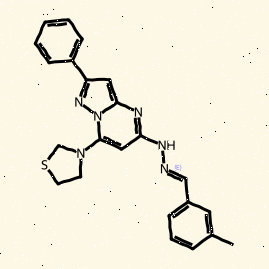 Cc1cccc(/C=N/Nc2cc(N3CCSC3)n3nc(-c4ccccc4)cc3n2)c1